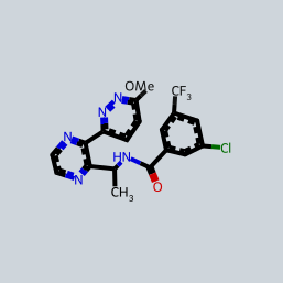 COc1ccc(-c2nccnc2C(C)NC(=O)c2cc(Cl)cc(C(F)(F)F)c2)nn1